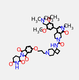 COc1cc(-c2cn(C)c(=O)c3c2CCN(C(=O)NC2CCC24CCN(CCCOc2ccc5c(c2)C(=O)N(C2CCC(=O)NC2=O)C5=O)CC4)C3)cc(OC)c1CN(C)C